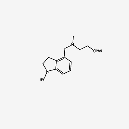 COCCN(C)Cc1cccc2c1CCN2C(C)C